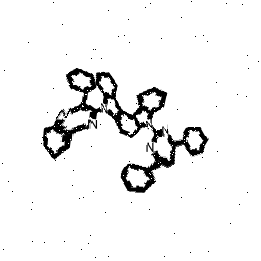 c1ccc(-c2cc(-c3ccccc3)nc(-n3c4ccccc4c4c5c6ccccc6n(-c6nc7ccccc7nc6-c6ccccc6)c5ccc43)n2)cc1